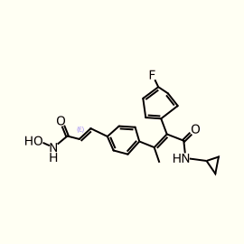 CC(=C(C(=O)NC1CC1)c1ccc(F)cc1)c1ccc(/C=C/C(=O)NO)cc1